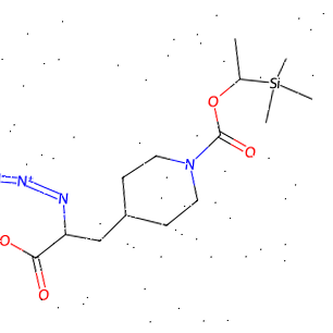 CC(OC(=O)N1CCC(CC(N=[N+]=[N-])C(=O)O)CC1)[Si](C)(C)C